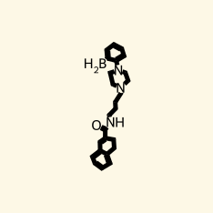 Bc1ccccc1N1CCN(CCCCNC(=O)C2=Cc3ccccc3CC2)CC1